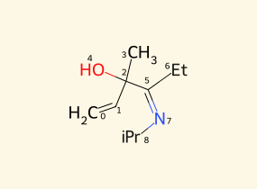 C=CC(C)(O)C(CC)=NC(C)C